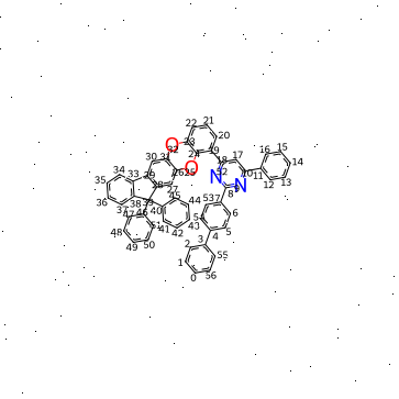 c1ccc(-c2ccc(-c3nc(-c4ccccc4)cc(-c4cccc5c4Oc4cc6c(cc4O5)-c4ccccc4C6(c4ccccc4)c4ccccc4)n3)cc2)cc1